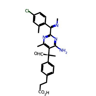 C/N=C(/c1nc(C)c([C@@](C)(C=O)c2ccc(CCC(=O)O)cc2)c(N)n1)c1ccc(Cl)cc1C